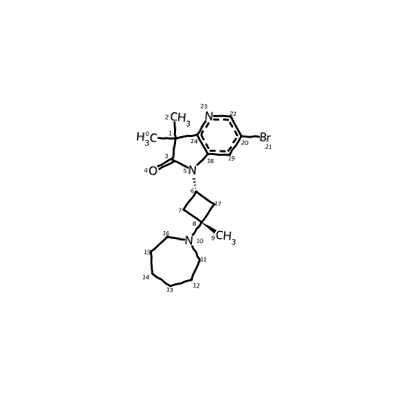 CC1(C)C(=O)N([C@H]2C[C@@](C)(N3CCCCCC3)C2)c2cc(Br)cnc21